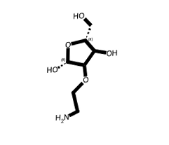 NCCOC1C(O)[C@@H](CO)O[C@H]1O